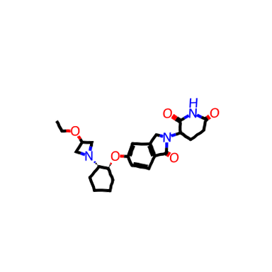 CCOC1CN([C@H]2CCCC[C@H]2Oc2ccc3c(c2)CN(C2CCC(=O)NC2=O)C3=O)C1